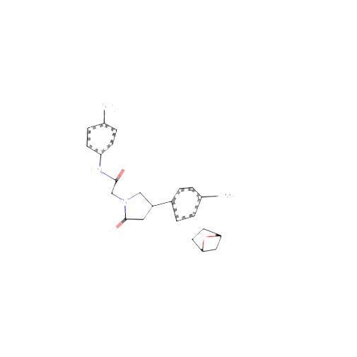 C1CC2CC1O2.COc1ccc(C2CC(=O)N(CC(=O)Nc3ccc([N+](=O)[O-])cc3)C2)cc1